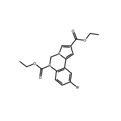 CCOC(=O)c1cc2n(c1)CN(C(=O)OCC)c1ccc(Br)cc1-2